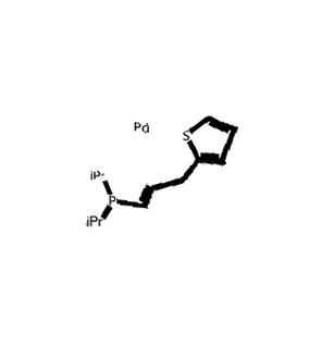 CC(C)P(C=CCc1cccs1)C(C)C.[Pd]